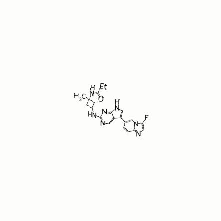 CCC(=O)N[C@]1(C)C[C@@H](Nc2ncc3c(-c4ccc5ncc(F)n5c4)c[nH]c3n2)C1